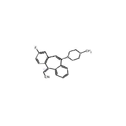 CN1CCN(C2=Cc3cc(F)ccc3/C(=C/C#N)c3ccccc32)CC1